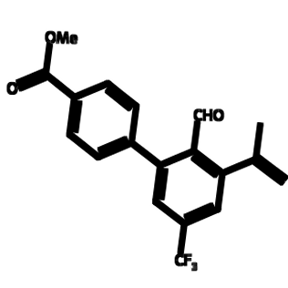 C=C(C)c1cc(C(F)(F)F)cc(-c2ccc(C(=O)OC)cc2)c1C=O